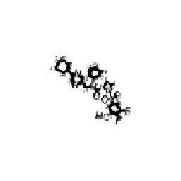 N#Cc1cc(S(=O)(=O)N2CC[C@@H]2C(=O)N(Cc2cnc(C3CCCCC3)cn2)c2ccccc2)cc(F)c1F